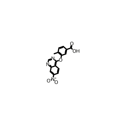 Cc1ccc(C(=O)O)cc1Oc1ncnc2cc([N+](=O)[O-])ccc12